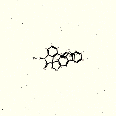 CCCCCN1C(=O)C2(COc3cc4c(cc32)OCO4)c2c(C=Cc3ccccc3)cccc21